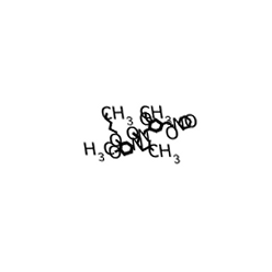 CCCCCOc1cc(N2CC(C)CN(Cc3ccc(CC(=O)N4CCOCC4)cc3OC)C2=O)ccc1OC